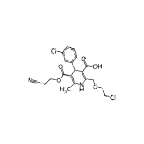 CC1=C(C(=O)OCCC#N)C(c2cccc(Cl)c2)C(C(=O)O)=C(COCCCl)N1